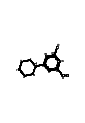 O=Cc1cc(N2CCOCC2)nc(Cl)n1